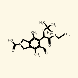 CCOC(=O)C(OC(C)(C)C)c1c(C)c2c(c(C)c1C=O)CN(C(=O)O)C2